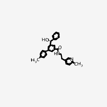 Cc1ccc(-c2cc(C(=O)NCCc3ccc(C)nc3)cc([C@H](O)c3ccccc3)c2)cc1